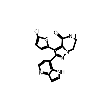 O=C1NCCn2nc(-c3ccnc4cc[nH]c34)c(-c3ccc(Cl)s3)c21